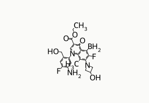 Bc1c(F)c(N2CC(O)C2)c(C)c2c1c(=O)c(C(=O)OCC)cn2-c1cc(N)c(F)cc1CO